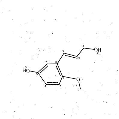 COc1ccc(O)cc1C=CCO